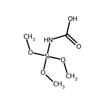 CO[Si](NC(=O)O)(OC)OC